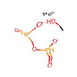 CO.O=[PH]([O-])O[PH](=O)[O-].[Pd+2]